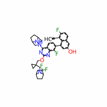 C#Cc1c(F)ccc2cc(O)cc(-c3ccc4c(N5CC6CCC(C5)N6)nc(OCC5(CN6C7CCC6C(F)(F)C7)CC5)nc4c3F)c12